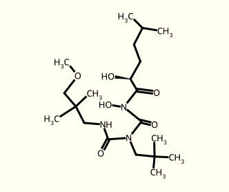 COCC(C)(C)CNC(=O)N(CC(C)(C)C)C(=O)N(O)C(=O)[C@@H](O)CCC(C)C